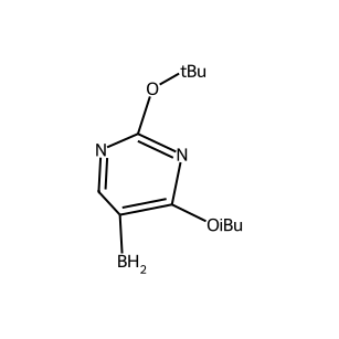 Bc1cnc(OC(C)(C)C)nc1OCC(C)C